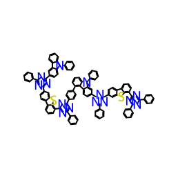 c1ccc(-c2nc(-c3ccc4c(c3)sc3c(-c5nc(-c6ccccc6)nc(-c6ccc(-c7cccc8c7c7ccc(-c9nc(-c%10ccccc%10)nc(-c%10ccc%11c(c%10)sc%10c(-c%12nc(-c%13ccccc%13)nc(-c%13ccccc%13)n%12)cccc%10%11)n9)cc7n8-c7ccccc7)cc6)n5)cccc34)nc(-c3ccc4c(c3)c3ccccc3n4-c3ccccc3)n2)cc1